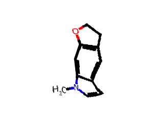 Cn1ccc2cc3c(cc21)OCC3